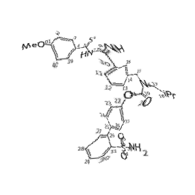 COc1ccc(C(=S)NC(=N)c2cccc(CN(CC(C)C)C(=O)Oc3ccc(-c4ccccc4S(N)(=O)=O)cc3)c2)cc1